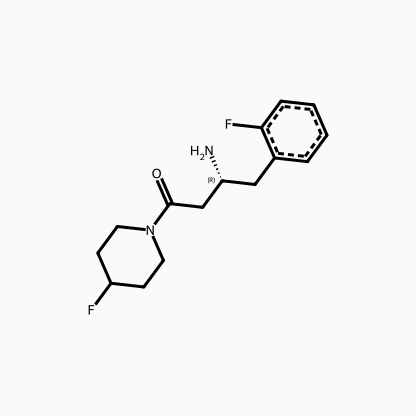 N[C@@H](CC(=O)N1CCC(F)CC1)Cc1ccccc1F